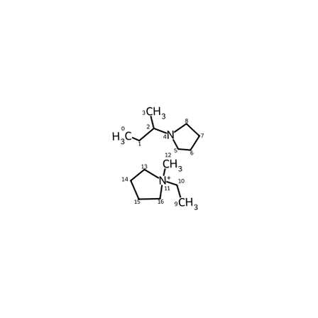 CCC(C)N1CCCC1.CC[N+]1(C)CCCC1